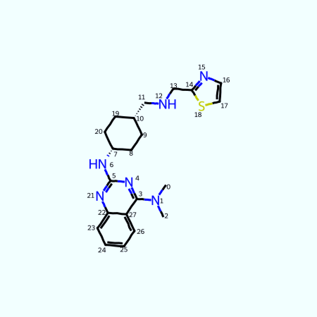 CN(C)c1nc(N[C@H]2CC[C@@H](CNCc3nccs3)CC2)nc2ccccc12